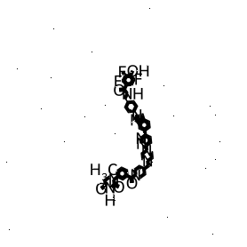 Cc1ccc(C(=O)N2CCC(CN3CCN(c4ccc(-c5ccc6cn([C@H]7CC[C@H](CNC(=O)c8cc(F)c(O)c(F)c8F)CC7)nc6c5)nn4)CC3)CC2)cc1N1CCC(=O)NC1=O